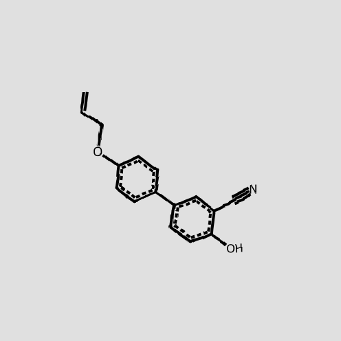 C=CCOc1ccc(-c2ccc(O)c(C#N)c2)cc1